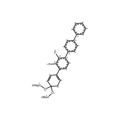 CCCCCCCCCOC1(OCCCCCCC)C=CC(c2ccc(-c3ccc(-c4ccccc4)cc3)c(F)c2F)=CC1